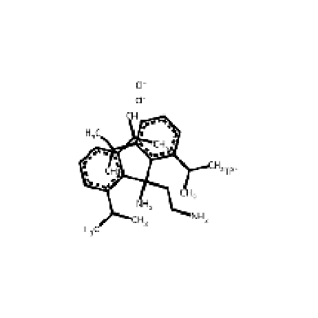 CC(C)c1cccc(C(C)C)c1C(N)(CCN)c1c(C(C)C)cccc1C(C)C.[Cl-].[Cl-].[Ti+2]